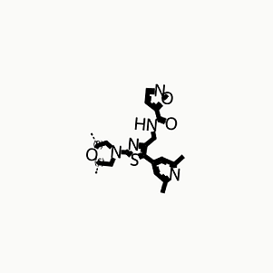 Cc1cc(-c2sc(N3C[C@@H](C)O[C@@H](C)C3)nc2CNC(=O)c2ccno2)cc(C)n1